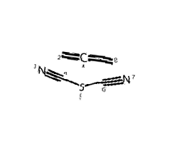 C=C=C.N#CSC#N